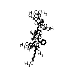 CCCCCCC[C@@H](C)C(=O)N(C)[C@@H](CC(C)C)C(=O)N[C@H](C(=O)N[C@@H](CN)C(=O)N[C@@H](CNC(=O)C1CCN1C(=O)OC(C)(C)C)C(=O)NCC(=O)O)C1CCCCC1